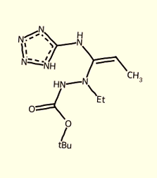 CC=C(Nc1nnn[nH]1)N(CC)NC(=O)OC(C)(C)C